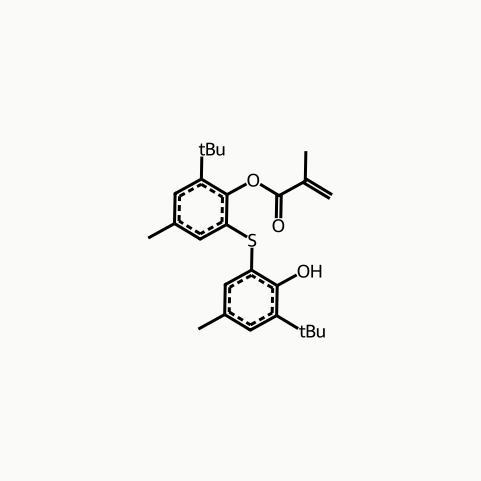 C=C(C)C(=O)Oc1c(Sc2cc(C)cc(C(C)(C)C)c2O)cc(C)cc1C(C)(C)C